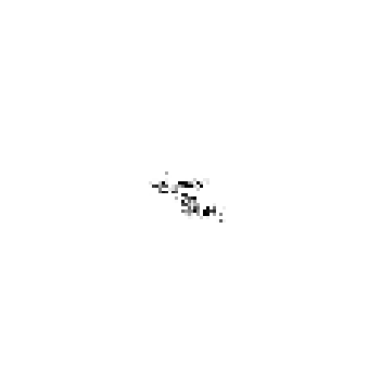 [PbH2].[S]=[SbH].[Zn]